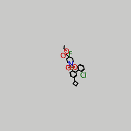 CCOC(=O)C1(F)CCN(S(=O)(=O)c2ccc(C3CCC3)cc2-c2ccccc2Cl)CC1